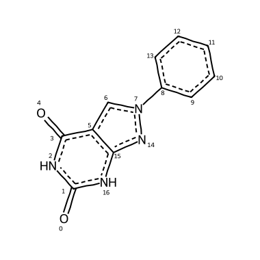 O=c1[nH]c(=O)c2cn(-c3ccccc3)nc2[nH]1